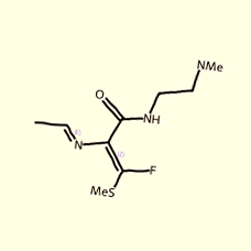 C/C=N/C(C(=O)NCCNC)=C(/F)SC